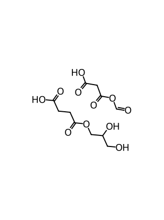 O=C(O)CCC(=O)OCC(O)CO.O=COC(=O)CC(=O)O